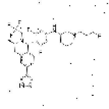 C[C@@H]1Cc2cc(-c3cn[nH]c3)ccc2[C@@H](c2c(F)cc(NC3CCCN(CCCF)C3)cc2F)N1CC(F)(F)F